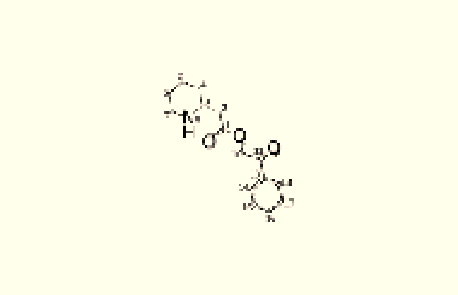 O=C(C[C@H]1CCCCN1)OCC(=O)c1ccccc1